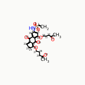 C=CS(=O)(=O)Nc1cc(OCCCC(C)=O)c2c(c1)C(=O)c1cccc(OCCCC(C)=O)c1C2=O